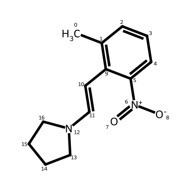 Cc1cccc([N+](=O)[O-])c1C=CN1CCCC1